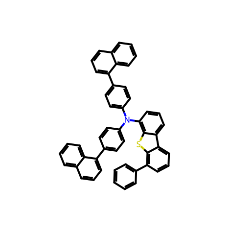 c1ccc(-c2cccc3c2sc2c(N(c4ccc(-c5cccc6ccccc56)cc4)c4ccc(-c5cccc6ccccc56)cc4)cccc23)cc1